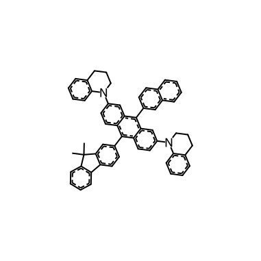 CC1(C)c2ccccc2-c2ccc(-c3c4ccc(N5CCCc6ccccc65)cc4c(-c4ccc5ccccc5c4)c4cc(N5CCCc6ccccc65)ccc34)cc21